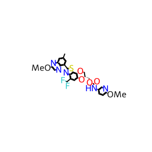 COc1ccc(NC(=O)OC[C@H]2COc3c(cc(C(F)F)c4nc(-c5cc(C)cc6nc(OC)cnc56)sc34)O2)cn1